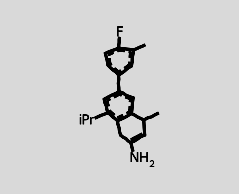 Cc1cc(-c2cc(C(C)C)c3c(c2)C(C)C=C(N)C3)ccc1F